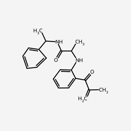 C=C(C)C(=O)c1ccccc1NC(C)C(=O)NC(C)c1ccccc1